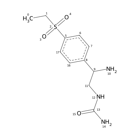 CCS(=O)(=O)c1ccc(C(N)CNC(N)=O)cc1